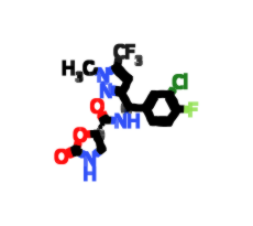 Cn1nc([C@@H](NC(=O)[C@@H]2CNC(=O)O2)c2ccc(F)c(Cl)c2)cc1C(F)(F)F